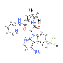 Nc1ncnc2c1c1cc(C(F)(F)F)ccc1n2CC(=O)N1[C@@H]2C[C@@H]2C[C@H]1C(=O)Nc1ccccn1